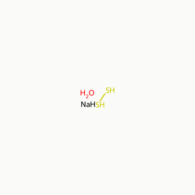 O.SS.[NaH]